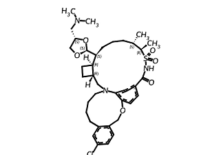 C[C@@H]1[C@@H](C)CCC[C@H]([C@H]2OC[C@H](CN(C)C)O2)[C@@H]2CC[C@H]2CN2CCCCc3cc(Cl)ccc3COc3ccc(cc32)C(=O)NS1(=O)=O